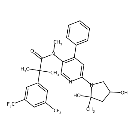 CN(C(=O)C(C)(C)c1cc(C(F)(F)F)cc(C(F)(F)F)c1)c1cnc(N2CC(O)CC2(C)O)cc1-c1ccccc1